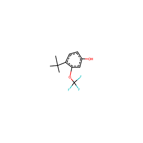 CC(C)(C)c1ccc(O)cc1OC(F)(F)F